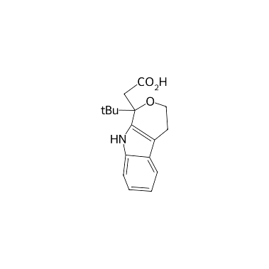 CC(C)(C)C1(CC(=O)O)OCCc2c1[nH]c1ccccc21